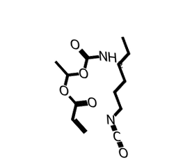 C=CC(=O)OC(C)OC(N)=O.CCCCCCN=C=O